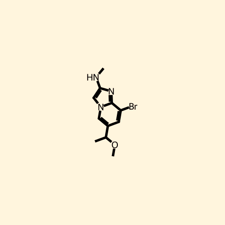 CNc1cn2cc(C(C)OC)cc(Br)c2n1